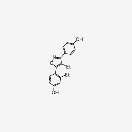 CCc1cc(O)ccc1-c1onc(-c2ccc(O)cc2)c1CC